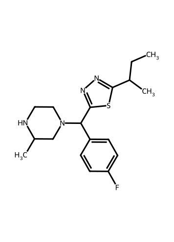 CCC(C)c1nnc(C(c2ccc(F)cc2)N2CCNC(C)C2)s1